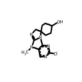 CN1C2=NCC3(CCC(O)CC3)N2c2nc(Cl)ncc21